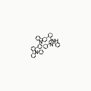 C1=CCCC(C2=NC(c3ccccc3)NC(C3=CCCC=C3C3C=Cc4c(c5ccccc5n4-c4cccc(-c5cccc6c5N(c5ccccc5)C5C=CC=CC65)c4)C3)=C2)=C1